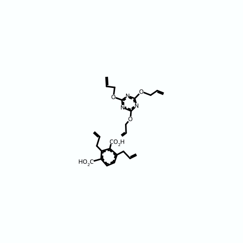 C=CCOc1nc(OCC=C)nc(OCC=C)n1.C=CCc1ccc(C(=O)O)c(CC=C)c1C(=O)O